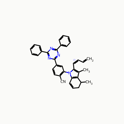 C=C/C=C\c1c(C)c2c(n1-c1cc(-c3nc(-c4ccccc4)nc(-c4ccccc4)n3)ccc1C#N)C=CCC2C